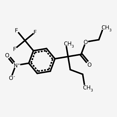 CCCC(C)(C(=O)OCC)c1ccc([N+](=O)[O-])c(C(F)(F)F)c1